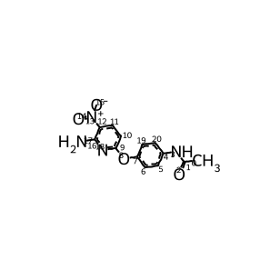 CC(=O)Nc1ccc(Oc2ccc([N+](=O)[O-])c(N)n2)cc1